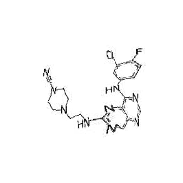 N#CN1CCN(CCNc2ncc3ncnc(Nc4ccc(F)c(Cl)c4)c3n2)CC1